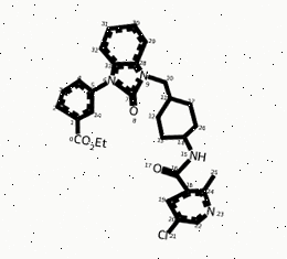 CCOC(=O)c1cccc(-n2c(=O)n(CC3CCC(NC(=O)c4cc(Cl)cnc4C)CC3)c3ccccc32)c1